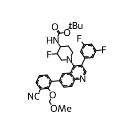 COCOc1c(C#N)cccc1-c1ccc2ncc(-c3cc(F)cc(F)c3)c(N3CCC(NC(=O)OC(C)(C)C)C(F)C3)c2c1